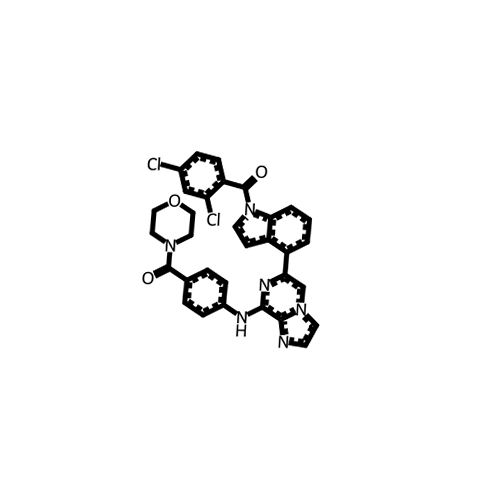 O=C(c1ccc(Nc2nc(-c3cccc4c3ccn4C(=O)c3ccc(Cl)cc3Cl)cn3ccnc23)cc1)N1CCOCC1